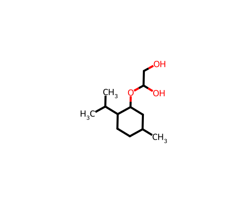 CC1CCC(C(C)C)C(OC(O)CO)C1